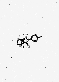 CCn1c2c(c(=O)n1-c1ccc(C)cc1)[C@H]1CC[C@]2(C)C1(C)C